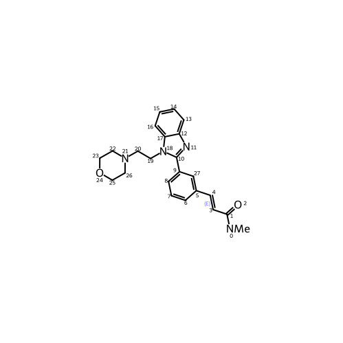 CNC(=O)/C=C/c1cccc(-c2nc3ccccc3n2CCN2CCOCC2)c1